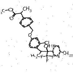 COC(=O)C(C)c1ccc(COc2ccc(C(C)C(O)(c3cnc(C)cn3)C(F)(F)F)c(Cl)c2)cc1